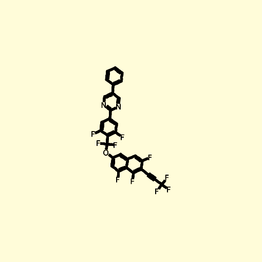 Fc1cc2cc(OC(F)(F)c3c(F)cc(-c4ncc(-c5ccccc5)cn4)cc3F)cc(F)c2c(F)c1C#CC(F)(F)F